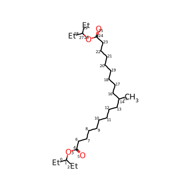 CCC(CC)OC(=O)CCCCCCCCC(C)CCCCCCCCC(=O)OC(CC)CC